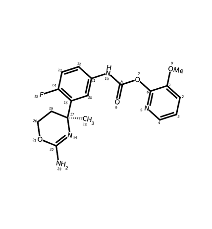 COc1cccnc1OC(=O)Nc1ccc(F)c([C@]2(C)CCOC(N)=N2)c1